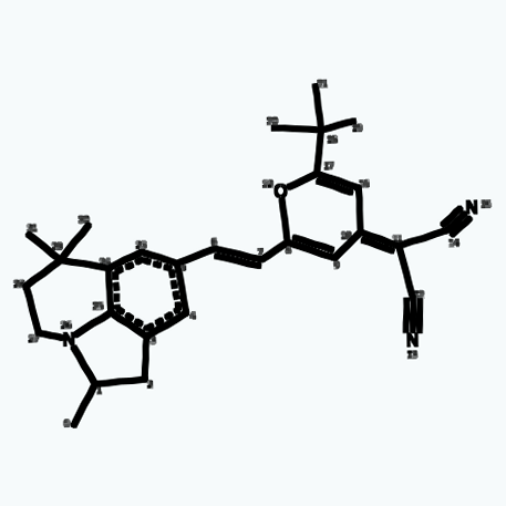 CC1Cc2cc(C=CC3=CC(=C(C#N)C#N)C=C(C(C)(C)C)O3)cc3c2N1CCC3(C)C